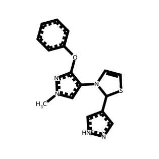 Cn1cc(N2C=CSC2c2cn[nH]c2)c(Oc2ccccc2)n1